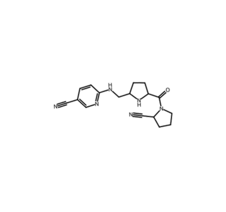 N#Cc1ccc(NCC2CCC(C(=O)N3CCCC3C#N)N2)nc1